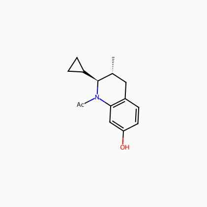 CC(=O)N1c2cc(O)ccc2C[C@@H](C)[C@@H]1C1CC1